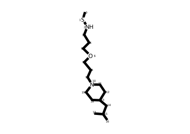 CSNCCCOCCCN1CCC(CC(C)C)CC1